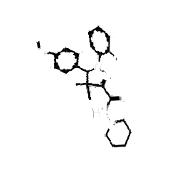 COc1ccc(C2N(c3ccccc3Cl)N=C(C(=O)NN3CCCCC3)C2(C)C)cc1